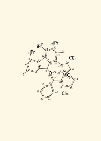 Cc1cc(C(C)C)c2c(c1)[CH]([Zr+2]=[C](c1ccccc1)c1ccccc1)c1c(C3=CC=CC3)c(C)c(C(C)C)c(C(C)C)c1-2.[Cl-].[Cl-]